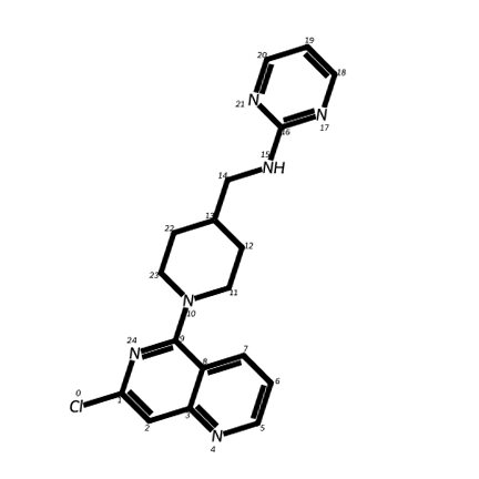 Clc1cc2ncccc2c(N2CCC(CNc3ncccn3)CC2)n1